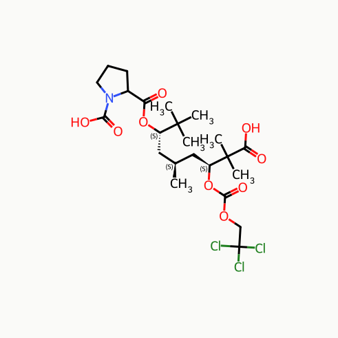 C[C@@H](C[C@H](OC(=O)C1CCCN1C(=O)O)C(C)(C)C)C[C@H](OC(=O)OCC(Cl)(Cl)Cl)C(C)(C)C(=O)O